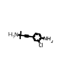 CC(C)(N)C#Cc1ccc(N)c(Cl)c1